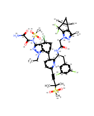 CC(C)(C#Cc1ccc(-c2ccc(Cl)c3c(N(C(=O)C(N)=O)S(C)(=O)=O)nn(CC(F)(F)F)c23)c([C@H](Cc2cc(F)cc(F)c2)NC(=O)Cn2nc(C(F)(F)F)c3c2C(F)(F)[C@@H]2C[C@H]32)n1)S(C)(=O)=O